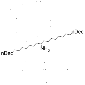 CCCCCCCCCCCCCCCCCCC(N)CCCCCCCCCCCCCCCCC